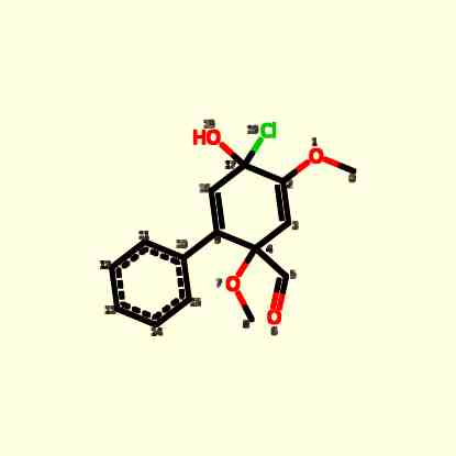 COC1=CC(C=O)(OC)C(c2ccccc2)=CC1(O)Cl